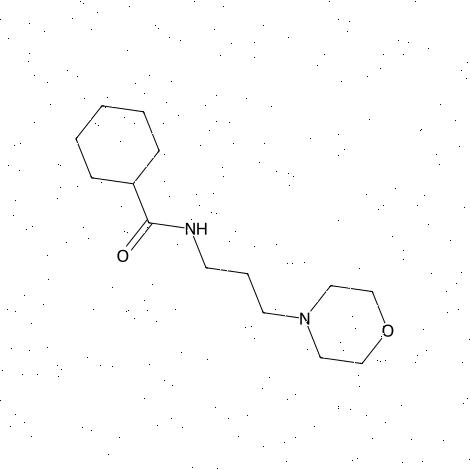 O=C(NCCCN1CCOCC1)C1CCCCC1